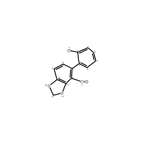 O=Cc1c(-c2ccccc2Cl)ccc2c1OCO2